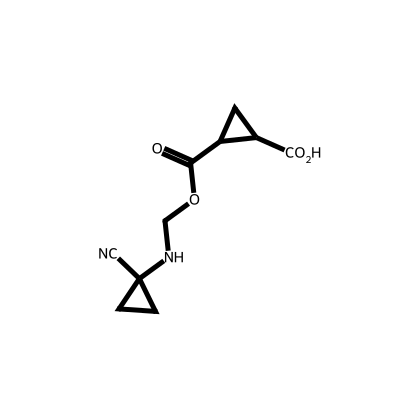 N#CC1(NCOC(=O)C2CC2C(=O)O)CC1